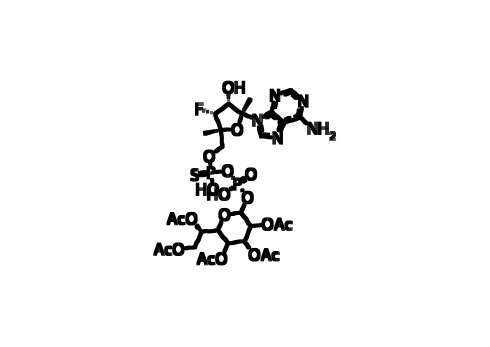 CC(=O)OC[C@@H](OC(C)=O)C1OC(OP(=O)(O)OP(O)(=S)OC[C@@]2(C)O[C@@](C)(n3cnc4c(N)ncnc43)[C@@H](O)[C@H]2F)C(OC(C)=O)C(OC(C)=O)C1OC(C)=O